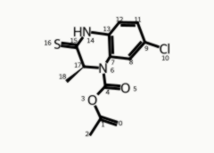 C=C(C)OC(=O)N1c2cc(Cl)ccc2NC(=S)[C@@H]1C